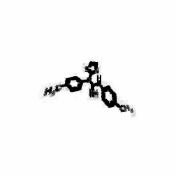 Cc1ccc(NC(=N)N(c2ccc(C)cc2)c2nccs2)cc1